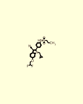 CCCS(=O)(=O)Nc1ccc(-c2c(C#N)c3ccc(OCC(F)F)cc3n2CC2CC2)cc1